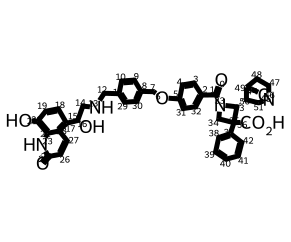 O=C(c1ccc(OCc2ccc(CNC[C@H](O)c3ccc(O)c4[nH]c(=O)ccc34)cc2)cc1)N1CC(C(=O)O)(c2ccccc2)[C@H]1C1CN2CCC1CC2